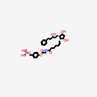 O=C(CCC/C=C\C[C@@H]1[C@@H](CC[C@@H](O)CCc2ccccc2)[C@H](O)C[C@@H]1O)NCC(=O)Oc1ccc(CON(O)O)cc1